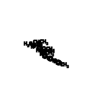 Cc1cc(C(=O)Nc2nc3ccc(N4CCC(N5CC6(CCN(C)CC6)C5)CC4)cc3n2CC(C)(C)O)c(F)c(-c2cnn(C)c2C)n1